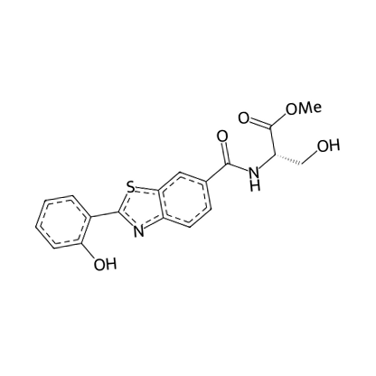 COC(=O)[C@H](CO)NC(=O)c1ccc2nc(-c3ccccc3O)sc2c1